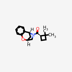 CC1(C)CC[C@H]1C(=O)N1C[C@@H]2C[C@H]1c1ccccc1O2